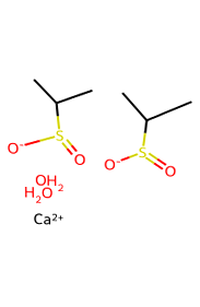 CC(C)S(=O)[O-].CC(C)S(=O)[O-].O.O.[Ca+2]